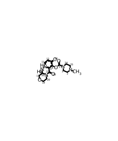 CN1CCN(C(=O)Oc2c3n(ccc2=O)N[C@@H]2COCCN2C3=O)CC1